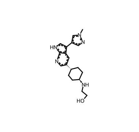 Cn1cc(-c2c[nH]c3ncc([C@H]4CC[C@H](NCCO)CC4)cc23)cn1